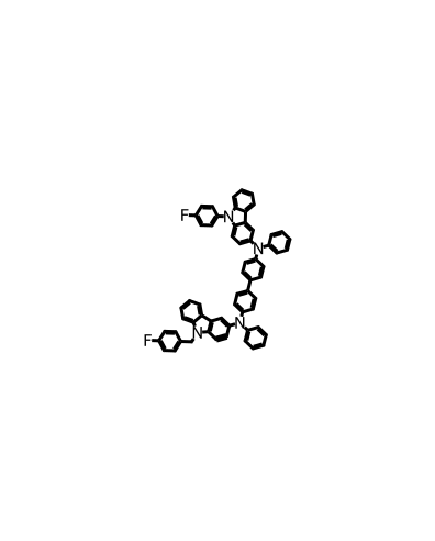 Fc1ccc(Cn2c3c#cc(N(c4ccccc4)c4ccc(-c5ccc(N(c6ccccc6)c6ccc7c(c6)c6ccccc6n7-c6ccc(F)cc6)cc5)cc4)cc3c3ccccc32)cc1